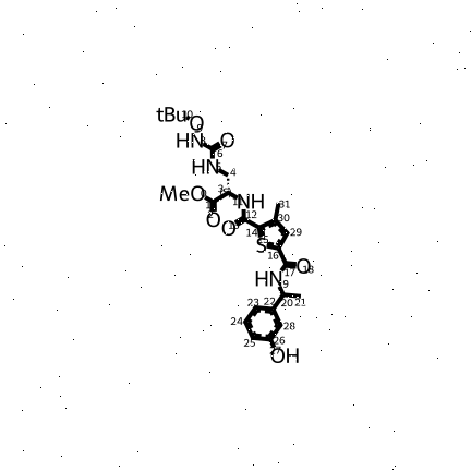 COC(=O)[C@H](CNC(=O)NOC(C)(C)C)NC(=O)c1sc(C(=O)NC(C)c2cccc(O)c2)cc1C